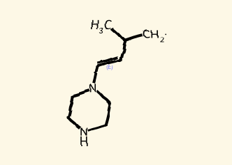 [CH2]C(C)/C=C/N1CCNCC1